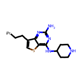 CC(C)CCc1csc2c(NC3CCNCC3)nc(N)nc12